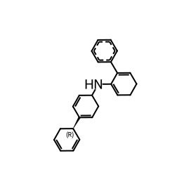 C1=CC[C@@H](C2=CCC(NC3=CCCC=C3c3ccccc3)C=C2)C=C1